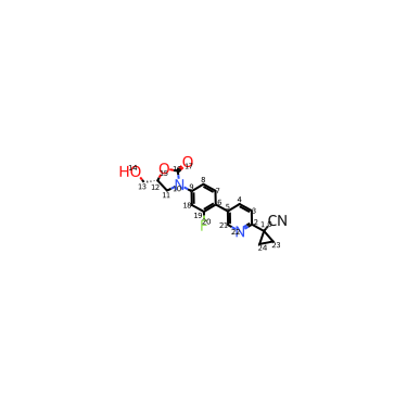 N#CC1(c2ccc(-c3ccc(N4C[C@H](CO)OC4=O)cc3F)cn2)CC1